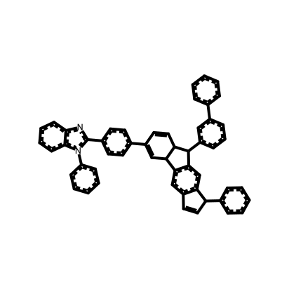 C1=CC2C(C=C1c1ccc(-c3nc4ccccc4n3-c3ccccc3)cc1)c1cc3c(cc1C2c1cccc(-c2ccccc2)c1)C(c1ccccc1)C=C3